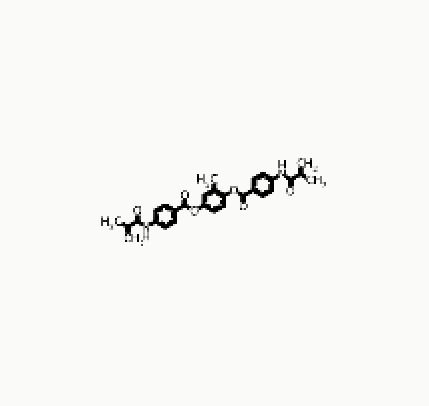 C=C(C)C(=O)Nc1ccc(C(=O)Oc2ccc(OC(=O)c3ccc(NC(=O)C(=C)C)cc3)c(C)c2)cc1